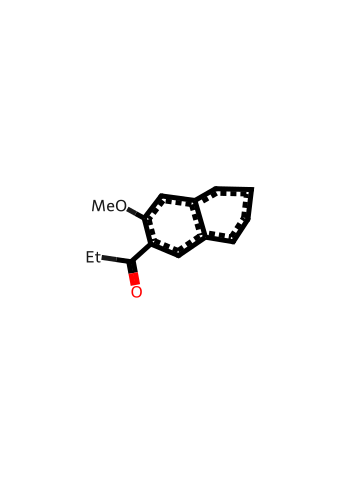 CCC(=O)c1cc2ccccc2cc1OC